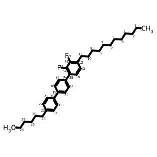 CCCCCCCCCCCCc1ccc(-c2ccc(-c3ccc(CCCCCC)cc3)cc2)c(F)c1F